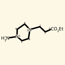 CCOC(=O)CCN1CCN(N)CC1